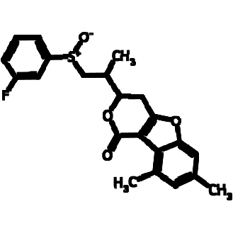 Cc1cc(C)c2c3c(oc2c1)CC(C(C)C[S+]([O-])c1cccc(F)c1)OC3=O